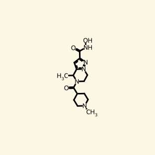 CC1c2cc(C(=O)NO)nn2CCN1C(=O)C1CCN(C)CC1